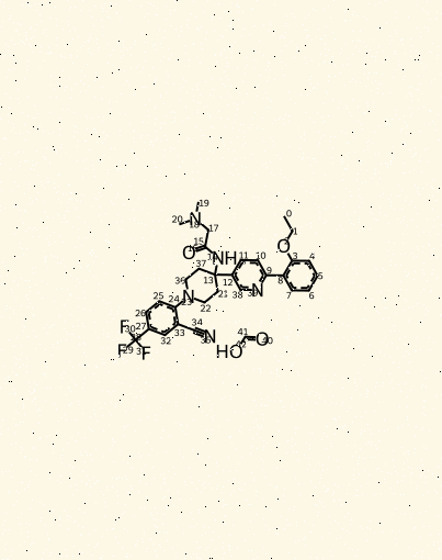 CCOc1ccccc1-c1ccc(C2(NC(=O)CN(C)C)CCN(c3ccc(C(F)(F)F)cc3C#N)CC2)cn1.O=CO